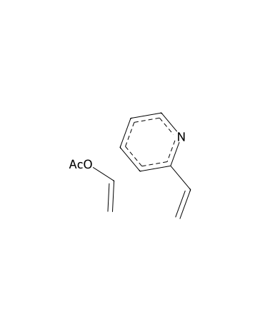 C=COC(C)=O.C=Cc1ccccn1